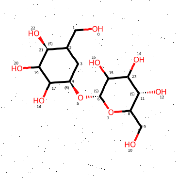 OCC1C[C@@H](O[C@H]2OC(CO)[C@@H](O)C(O)C2O)C(O)C(O)[C@H]1O